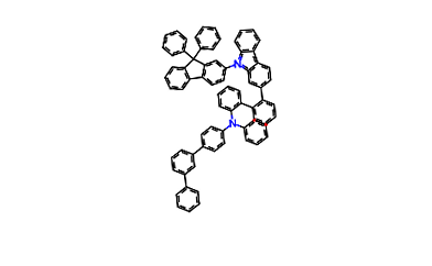 c1ccc(-c2cccc(-c3ccc(N(c4ccccc4)c4ccccc4-c4ccccc4-c4ccc5c6ccccc6n(-c6ccc7c(c6)C(c6ccccc6)(c6ccccc6)c6ccccc6-7)c5c4)cc3)c2)cc1